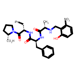 CC(C)C[C@H](NC(=O)[C@H](Cc1ccccc1)NC(=O)[C@H](C)NCc1c(O)cccc1[N+](=O)[O-])C(=O)N1CCC[C@H]1C(=O)O